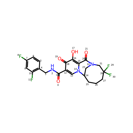 O=C(NCc1ccc(F)cc1F)c1cn2c(c(O)c1=O)C(=O)N1CC2CCCC(F)(F)C1